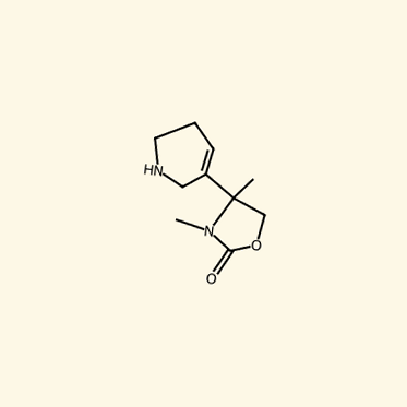 CN1C(=O)OCC1(C)C1=CCCNC1